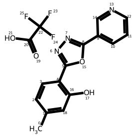 Cc1ccc(-c2nnc(-c3cccnc3)o2)c(O)c1.O=C(O)C(F)(F)F